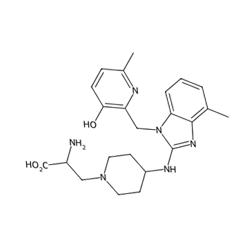 Cc1ccc(O)c(Cn2c(NC3CCN(CC(N)C(=O)O)CC3)nc3c(C)cccc32)n1